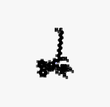 CCCCCCCCCCCC(C)/C=C/[C@@H](CC(C)(C)[Si](O)(c1ccccc1)c1ccccc1)[C@@H](N)CO[Si](C)(C)C(C)(C)C